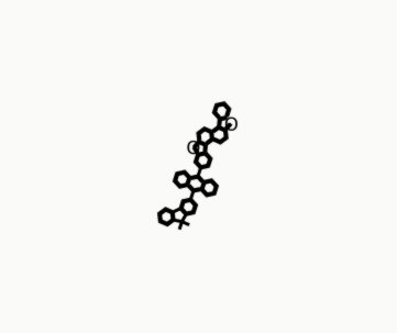 CC1(C)c2ccccc2-c2cc(-c3c4ccccc4c(-c4ccc5c(c4)oc4ccc6c(ccc7oc8ccccc8c76)c45)c4ccccc34)ccc21